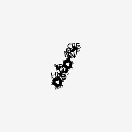 CCOP(=O)(Cc1ccc(-c2noc(C(F)(F)Cl)n2)cc1F)Nc1ccccc1